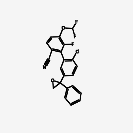 N#Cc1ccc(OC(F)F)c(F)c1-c1cc(C2(c3ccccc3)CO2)ccc1Cl